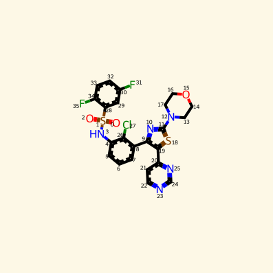 O=S(=O)(Nc1cccc(-c2nc(N3CCOCC3)sc2-c2ccncn2)c1Cl)c1cc(F)ccc1F